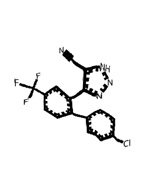 N#Cc1[nH]nnc1-c1cc(C(F)(F)F)ccc1-c1ccc(Cl)cc1